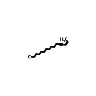 C/C=C\C#CCCCCCCCCCCCl